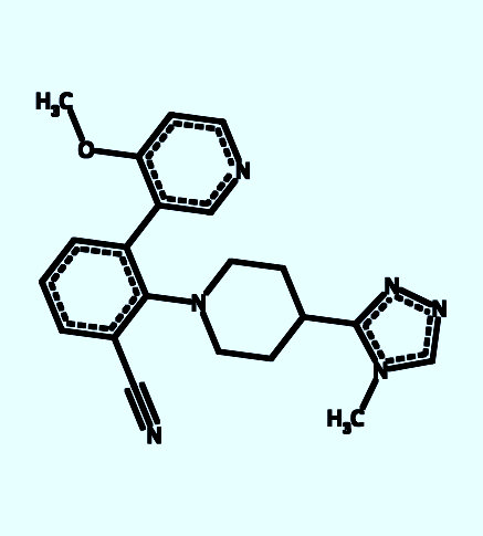 COc1ccncc1-c1cccc(C#N)c1N1CCC(c2nncn2C)CC1